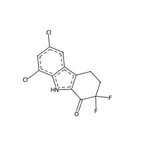 O=C1c2[nH]c3c(Cl)cc(Cl)cc3c2CCC1(F)F